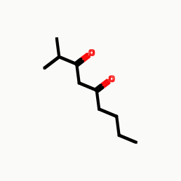 CCCCC(=O)CC(=O)C(C)C